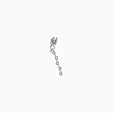 COCCOCCOCCOCCOCC1(F)CC=C(OS(=O)(=O)C(F)(F)F)CC1